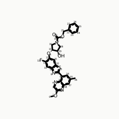 COc1cnc2c(-c3nc4cc(F)c(O[C@@H]5CN(C(=O)OCc6ccccc6)C[C@H]5O)cc4s3)cc(C)cc2n1